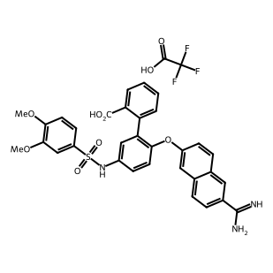 COc1ccc(S(=O)(=O)Nc2ccc(Oc3ccc4cc(C(=N)N)ccc4c3)c(-c3ccccc3C(=O)O)c2)cc1OC.O=C(O)C(F)(F)F